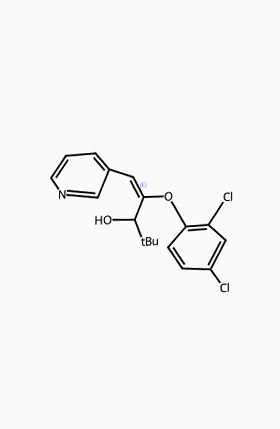 CC(C)(C)C(O)/C(=C\c1cccnc1)Oc1ccc(Cl)cc1Cl